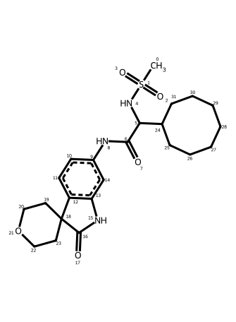 CS(=O)(=O)NC(C(=O)Nc1ccc2c(c1)NC(=O)C21CCOCC1)C1CCCCCCC1